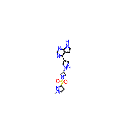 Cn1ccc(S(=O)(=O)N2C[C](n3cc(-c4ncnc5[nH]ccc45)cn3)C2)n1